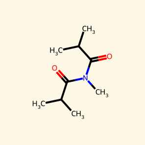 CC(C)C(=O)N(C)C(=O)C(C)C